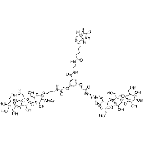 CC(=O)NC1C(O)[C@H](O[C@@H]2OC(CO)[C@H](O)C(O[C@H]3OC(CO)[C@H](O)C(O)C3O)C2O)C(CO)O[C@H]1OCCCNC(=O)COc1cc(OCC(=O)NCCCO[C@@H]2OC(CO)[C@@H](O[C@@H]3OC(CO)[C@H](O)C(O[C@H]4OC(CO)[C@H](O)C(O)C4O)C3O)C(O)C2NC(C)=O)cc(C(=O)NCCNC(=O)CCCC[C@@H]2SC[C@@H]3NC(=O)N[C@@H]32)c1